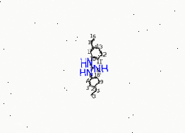 C=Cc1ccc(NC(=N)Nc2cccc(C=C)c2)cc1